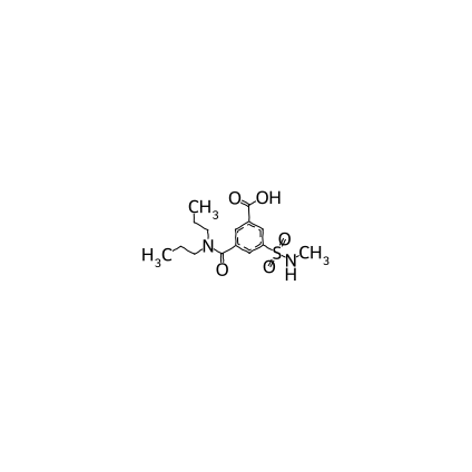 CCCN(CCC)C(=O)c1cc(C(=O)O)cc(S(=O)(=O)NC)c1